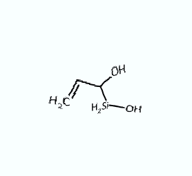 C=CC(O)[SiH2]O